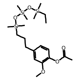 CC[Si](C)(C)O[Si](C)(C)O[Si](C)(C)CCCc1ccc(OC(C)=O)c(OC)c1